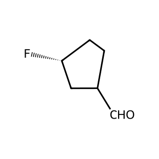 O=CC1CC[C@@H](F)C1